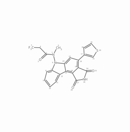 CN(C(=O)CC(F)(F)F)n1c2ccccc2c2c3c(c(-c4ccsc4)cc21)C(=O)NC3=O